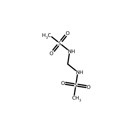 CS(=O)(=O)NCNS(C)(=O)=O